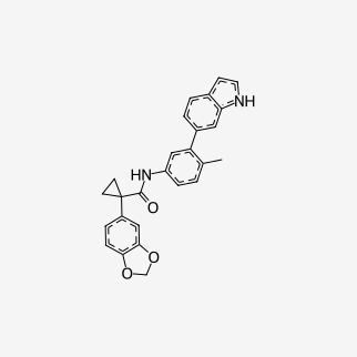 Cc1ccc(NC(=O)C2(c3ccc4c(c3)OCO4)CC2)cc1-c1ccc2cc[nH]c2c1